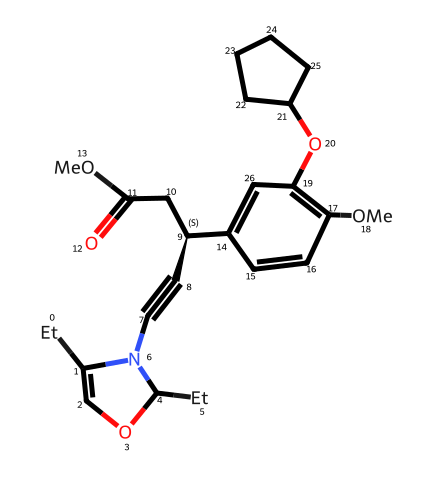 CCC1=COC(CC)N1C#C[C@@H](CC(=O)OC)c1ccc(OC)c(OC2CCCC2)c1